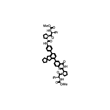 COC(=O)N[C@H](C(=O)N1CCCC1c1nc2ccc(-c3ccc(-c4ccc(NC(=O)[C@@H]5CCCN5C(=O)[C@@H](NC(=O)OC)C(C)C)cc4)c4c3CC3(CCCC3)C4)cc2c(=O)[nH]1)C(C)C